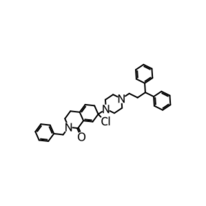 O=C1C2=CC(Cl)(N3CCN(CCC(c4ccccc4)c4ccccc4)CC3)CC=C2CCN1Cc1ccccc1